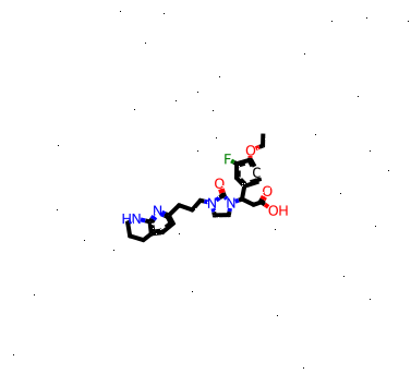 CCOc1ccc(C(CC(=O)O)N2CCN(CCCc3ccc4c(n3)NCCC4)C2=O)cc1F